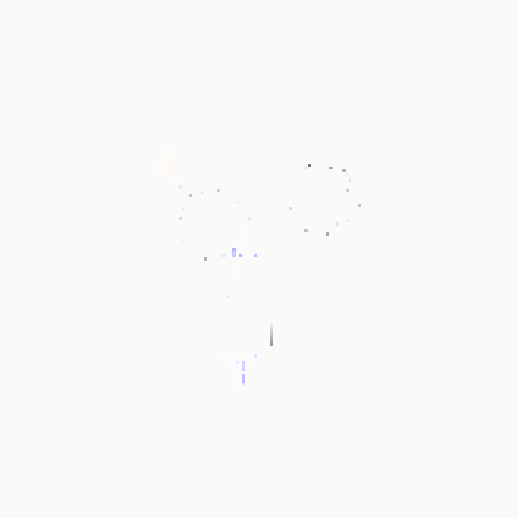 COC1CC[N+](Cc2ccccc2)(C2CCNCC2)CC1